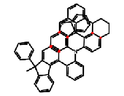 CC1(c2ccccc2)c2ccccc2-c2c(-c3ccccc3N(c3ccccc3-c3cccc4cccc(C5CCCCC5)c34)c3cccc4oc5ccccc5c34)cccc21